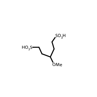 COC(CCS(=O)(=O)O)CCS(=O)(=O)O